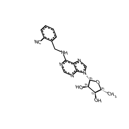 C[C@H]1O[C@@H](n2cnc3c(NCc4ccccc4C#N)ncnc32)[C@H](O)[C@@H]1O